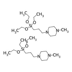 CCO[Si](CC)(CCCN1CCN(C)CC1)OCC.CCO[Si](CCCN1CCN(C)CC1)(OCC)OCC